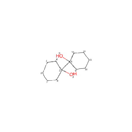 OC1(C2(O)CCCCC2)CCCCC1